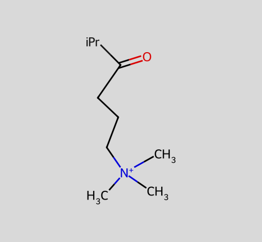 CC(C)C(=O)CCC[N+](C)(C)C